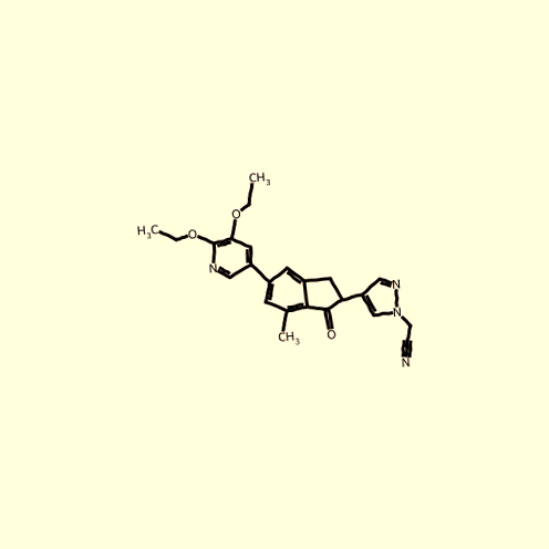 CCOc1cc(-c2cc(C)c3c(c2)CC(c2cnn(CC#N)c2)C3=O)cnc1OCC